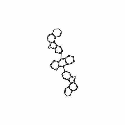 C1=Cc2c(ccc3oc4cc(-c5c6ccccc6c(-c6ccc7c(c6)oc6ccc8c(c67)C=CCC8)c6ccccc56)ccc4c23)CC1